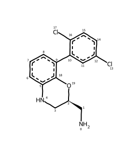 NC[C@H]1CNc2cccc(-c3cc(Cl)ccc3Cl)c2O1